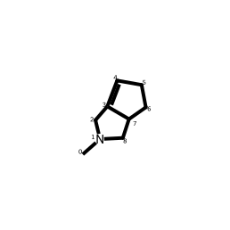 CN1CC2=CCCC2C1